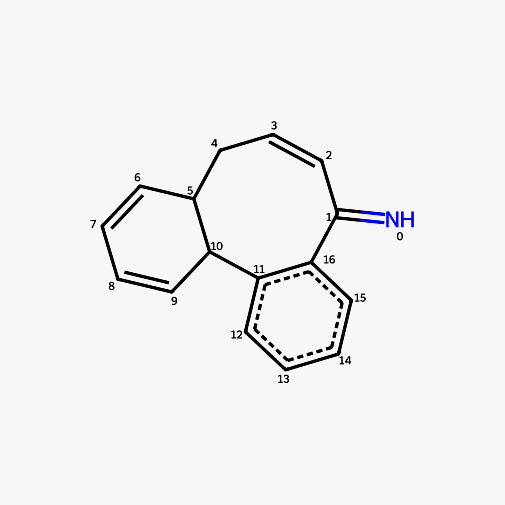 N=C1/C=C\CC2C=CC=CC2c2ccccc21